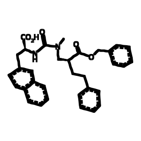 CN(C[C@H](CCc1ccccc1)C(=O)OCc1ccccc1)C(=O)N[C@@H](Cc1ccc2ccccc2c1)C(=O)O